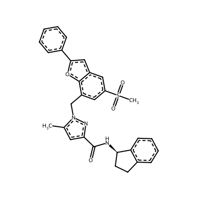 Cc1cc(C(=O)N[C@@H]2CCc3ccccc32)nn1Cc1cc(S(C)(=O)=O)cc2cc(-c3ccccc3)oc12